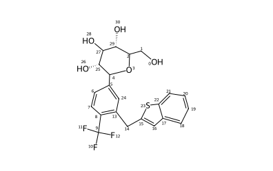 OCC1OC(c2ccc(C(F)(F)F)c(Cc3cc4ccccc4s3)c2)[C@H](O)C(O)[C@@H]1O